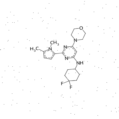 Cc1ccc(-c2nc(NC3CCC(F)(F)CC3)cc(N3CCOCC3)n2)n1C